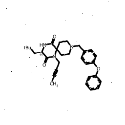 CC#CCN1C(=O)[C@@H](CC(C)(C)C)NC(=O)C12CCN(Cc1ccc(Oc3ccccc3)cc1)CC2